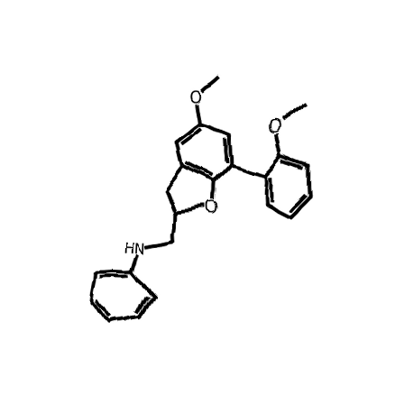 COc1cc2c(c(-c3ccccc3OC)c1)OC(CNc1ccccc1)C2